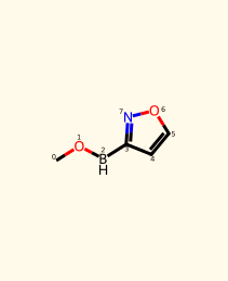 COBc1ccon1